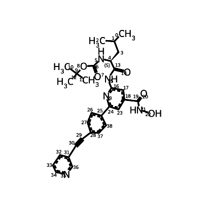 CC(C)C[C@H](NC(=O)OC(C)(C)C)C(=O)Nc1cc(C(=O)NO)cc(-c2ccc(C#Cc3cccnc3)cc2)n1